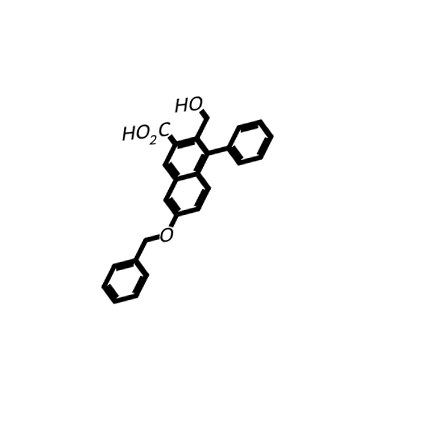 O=C(O)c1cc2cc(OCc3ccccc3)ccc2c(-c2ccccc2)c1CO